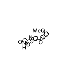 COc1cccc2c1CN(C(=O)c1ccc3nc(C4CCC(=O)NC4=O)oc3c1)C2